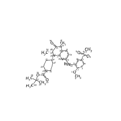 COc1ccc(S(C)(=O)=O)cc1Nc1ccc2c(n1)N(C1CCN(C(=O)OC(C)(C)C)CC1)[C@H](C)C(=O)N2C